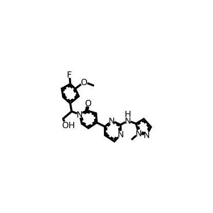 COc1cc(C(CO)n2ccc(-c3ccnc(Nc4ccnn4C)n3)cc2=O)ccc1F